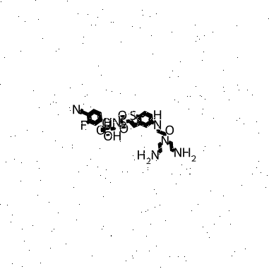 N#Cc1ccc(OP(=O)(O)CNS(=O)(=O)c2cc3cc(NCC(=O)N(CCN)CCN)ccc3s2)cc1F